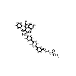 CC(=O)OCCOc1ccnc(N2CCN(c3ccc(NC(=O)C(=O)c4c(-c5ccccc5)[nH]c5ccccc45)cc3)CC2)c1